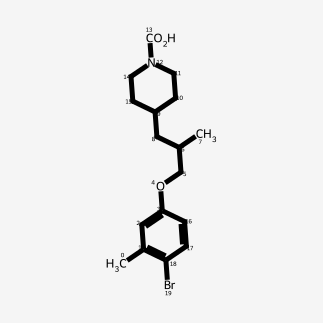 Cc1cc(OCC(C)CC2CCN(C(=O)O)CC2)ccc1Br